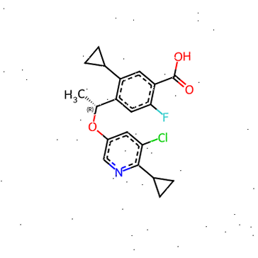 C[C@@H](Oc1cnc(C2CC2)c(Cl)c1)c1cc(F)c(C(=O)O)cc1C1CC1